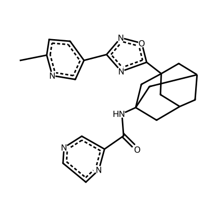 Cc1ccc(-c2noc(C34CC5CC(CC(NC(=O)c6cnccn6)(C5)C3)C4)n2)cn1